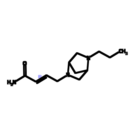 CCCN1CC2CC1CN2C/C=C/C(N)=O